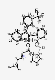 CN(C)C/C=C/C(=O)N1CCC[C@H]1COc1cnccc1-c1[nH]c2cccnc2c1-c1cccc(C(F)(F)F)c1